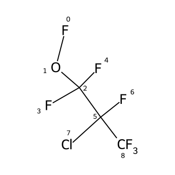 FOC(F)(F)C(F)(Cl)C(F)(F)F